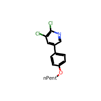 CCCCCOc1ccc(-c2cnc(Cl)c(Cl)c2)cc1